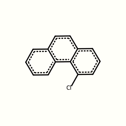 Clc1cccc2ccc3ccccc3c12